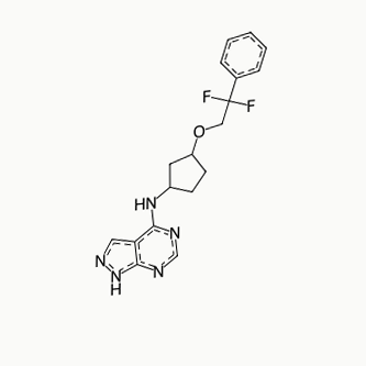 FC(F)(COC1CCC(Nc2ncnc3[nH]ncc23)C1)c1ccccc1